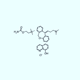 CN(C)CCC=C1c2ccccc2COc2ccccc21.C[N+](C)(C)CCOC(N)=O.Oc1cccc2cccnc12.[Cl-]